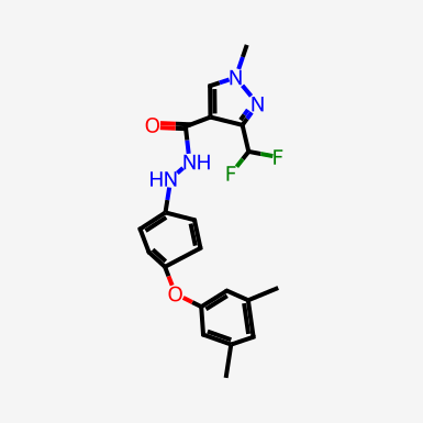 Cc1cc(C)cc(Oc2ccc(NNC(=O)c3cn(C)nc3C(F)F)cc2)c1